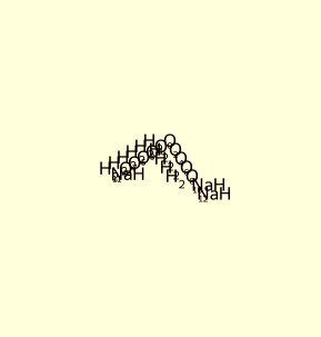 O.O.O.O.O.O.O.O.O.O.[NaH].[NaH].[NaH]